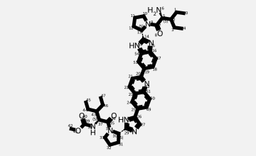 CCC(CC)[C@H](N)C(=O)N1CCC[C@H]1c1nc2ccc(-c3ccc4cc(-c5cnc([C@@H]6CCCN6C(=O)[C@@H](NC(=O)OC)C(CC)CC)[nH]5)ccc4n3)cc2[nH]1